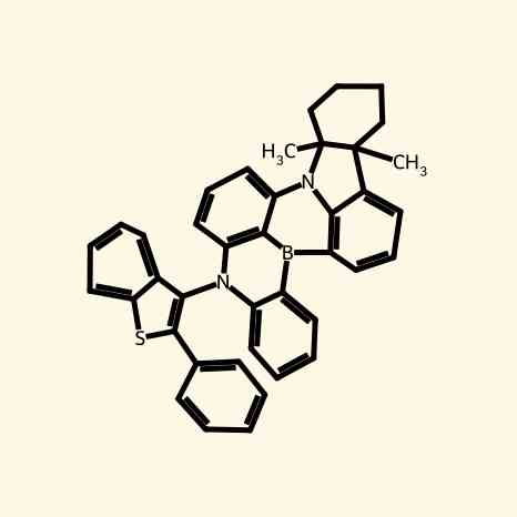 CC12CCCCC1(C)N1c3cccc4c3B(c3ccccc3N4c3c(-c4ccccc4)sc4ccccc34)c3cccc2c31